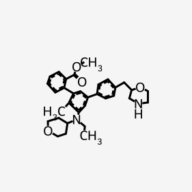 CCN(c1cc(-c2ccc(CC3CNCCO3)cc2)cc(-c2ccccc2C(=O)OC)c1C)C1CCOCC1